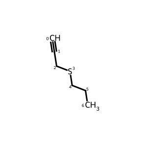 C#CCSCCC